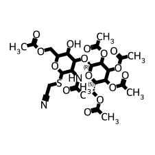 CC(=O)NC1C(SCC#N)OC(COC(C)=O)C(O)C1O[C@@H]1O[C@@H](COC(C)=O)C(OC(C)=O)C(OC(C)=O)C1OC(C)=O